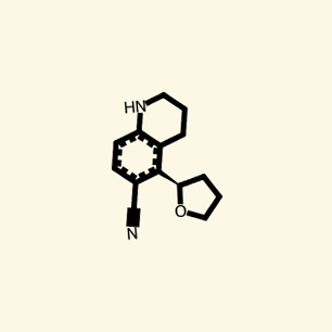 N#Cc1ccc2c(c1[C@H]1CCCO1)CCCN2